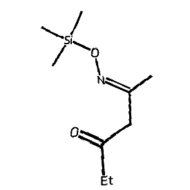 CCC(=O)CC(C)=NO[Si](C)(C)C